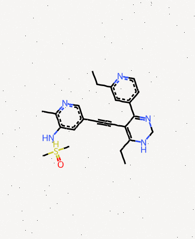 CCC1=C(C#Cc2cnc(C)c(N[SH](C)(C)=O)c2)C(c2ccnc(CC)c2)=NCN1